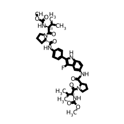 COC(=O)N[C@H](C(=O)N1CCCC1C(=O)Nc1ccc2[nH]c(-c3ccc(NC(=O)[C@@H]4CCCN4C(=O)[C@@H](NC(=O)OC)C(C)C)cc3)c(F)c2c1)C(C)C